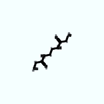 CC(C)CC(=O)NCCNC(=O)CC(C)(C)C